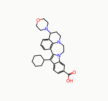 O=C(O)c1ccc2c(C3CCCCC3)c3n(c2c1)CCN1CCC(N2CCOCC2)c2cccc-3c21